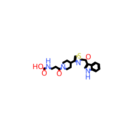 O=C(O)NCCC(=O)N1CCC(c2csc(C(=O)c3c[nH]c4ccccc34)n2)CC1